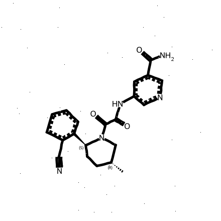 C[C@@H]1CC[C@@H](c2ccccc2C#N)N(C(=O)C(=O)Nc2cncc(C(N)=O)c2)C1